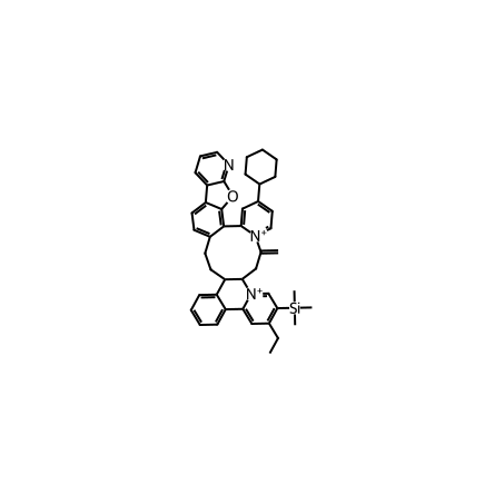 C=C1CC2C(CCc3ccc4c(oc5ncccc54)c3-c3cc(C4CCCCC4)cc[n+]31)c1ccccc1-c1cc(CC)c([Si](C)(C)C)c[n+]12